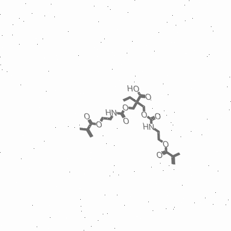 C=C(C)C(=O)OCCNC(=O)OCC(CC)(COC(=O)NCCOC(=O)C(=C)C)C(=O)O